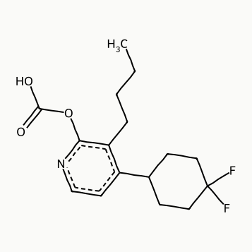 CCCCc1c(C2CCC(F)(F)CC2)ccnc1OC(=O)O